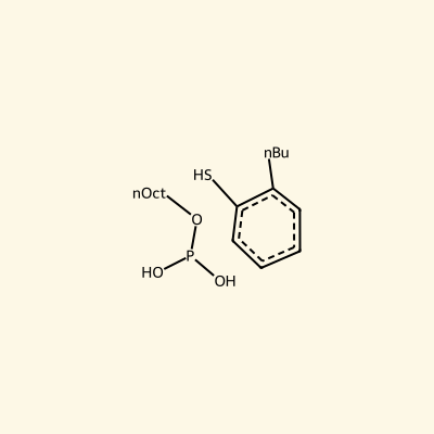 CCCCCCCCOP(O)O.CCCCc1ccccc1S